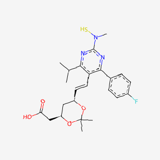 CC(C)c1nc(N(C)S)nc(-c2ccc(F)cc2)c1/C=C/[C@@H]1C[C@H](CC(=O)O)OC(C)(C)O1